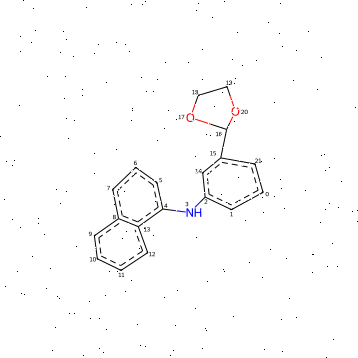 c1cc(Nc2cccc3ccccc23)cc(C2OCCO2)c1